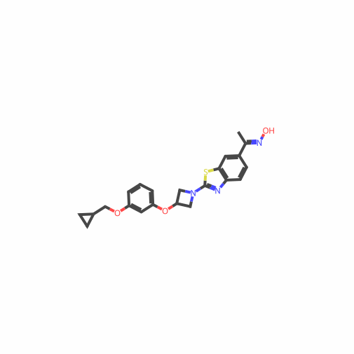 C/C(=N\O)c1ccc2nc(N3CC(Oc4cccc(OCC5CC5)c4)C3)sc2c1